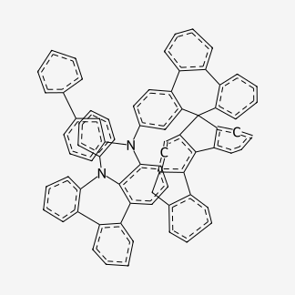 c1ccc(-c2cccc(N(c3ccc4c(c3)C3(c5ccccc5-c5ccccc5-4)c4ccccc4-c4c3ccc3c4-c4ccccc4C3)c3cccc4c3N(c3ccccc3)c3ccccc3-c3ccccc3-4)c2)cc1